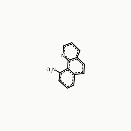 O=[N+]([O-])c1cccc2ccc3cccnc3c12